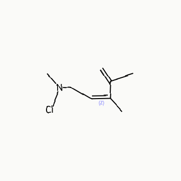 C=C(C)/C(C)=C\CN(C)Cl